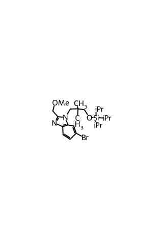 COCc1nc2ccc(Br)cc2n1CC(C)(C)CO[Si](C(C)C)(C(C)C)C(C)C